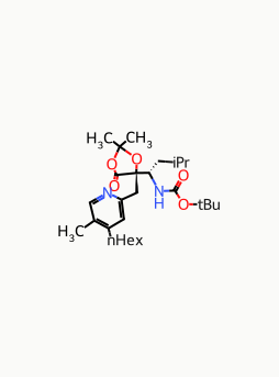 CCCCCCc1cc(C[C@]2([C@H](CC(C)C)NC(=O)OC(C)(C)C)OC(C)(C)OC2=O)ncc1C